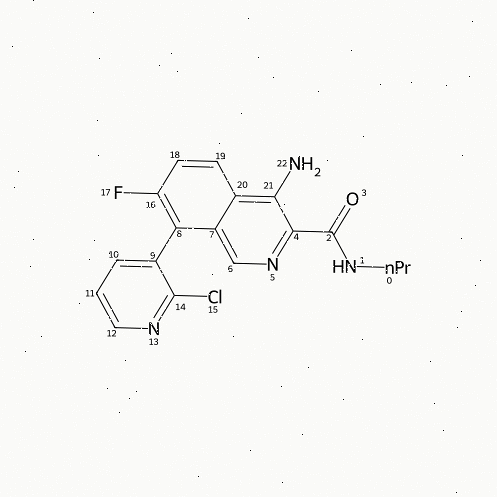 CCCNC(=O)c1ncc2c(-c3cccnc3Cl)c(F)ccc2c1N